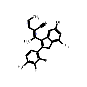 C/C=C\C(C#N)=C(/C)C1=C(c2ccc(C)c(F)c2F)Cc2c(C)cc(O)cc21